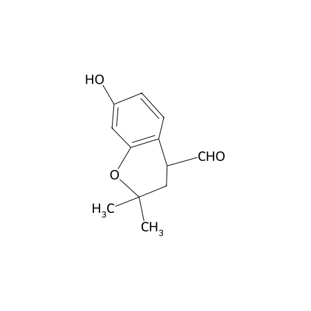 CC1(C)CC(C=O)c2ccc(O)cc2O1